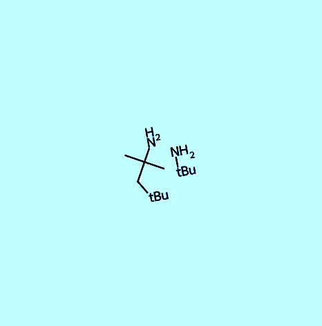 CC(C)(C)CC(C)(C)N.CC(C)(C)N